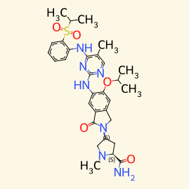 Cc1cnc(Nc2cc3c(cc2OC(C)C)CN([C@H]2C[C@@H](C(N)=O)N(C)C2)C3=O)nc1Nc1ccccc1S(=O)(=O)C(C)C